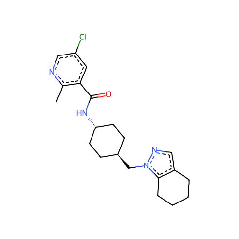 Cc1ncc(Cl)cc1C(=O)N[C@H]1CC[C@H](Cn2ncc3c2CCCC3)CC1